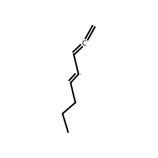 C=C=C/[C]=C/CCC